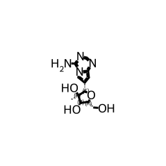 C[C@@]1(O)[C@H](O)[C@@H](CO)O[C@H]1c1cc2ncnc(N)n2c1